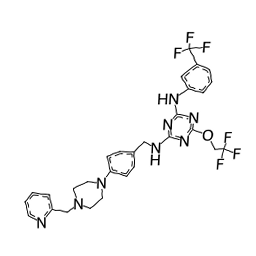 FC(F)(F)COc1nc(NCc2ccc(N3CCN(Cc4ccccn4)CC3)cc2)nc(Nc2cccc(C(F)(F)F)c2)n1